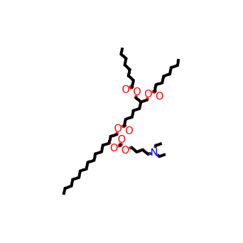 CCCCCCCCCCCCC(CCOC(=O)CCCCC(COC(=O)CCCCCCC)COC(=O)CCCCCCC)OC(=O)OCCCCN(CC)CC